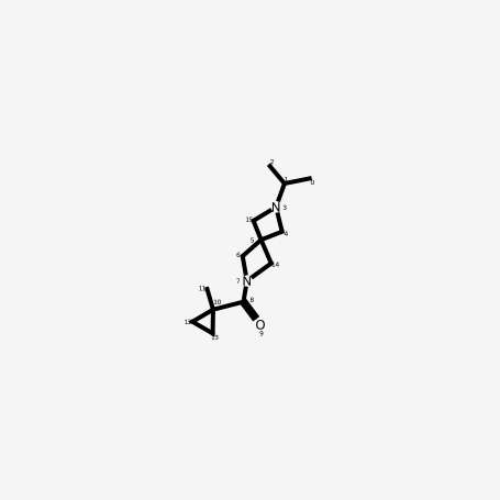 CC(C)N1CC2(CN(C(=O)C3(C)CC3)C2)C1